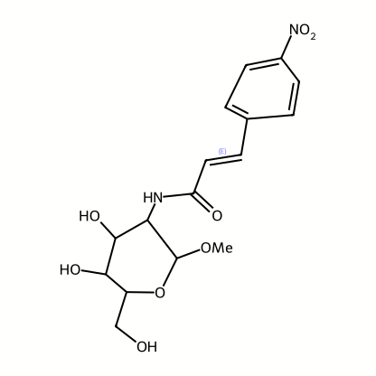 COC1OC(CO)C(O)C(O)C1NC(=O)/C=C/c1ccc([N+](=O)[O-])cc1